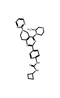 C[C@H]1COCCN1c1nc(-c2ccc(NC(=O)NC3CCC3)cc2)nc2c1CN(c1ncccn1)CC2